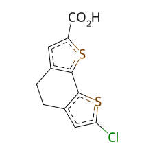 O=C(O)c1cc2c(s1)-c1sc(Cl)cc1CC2